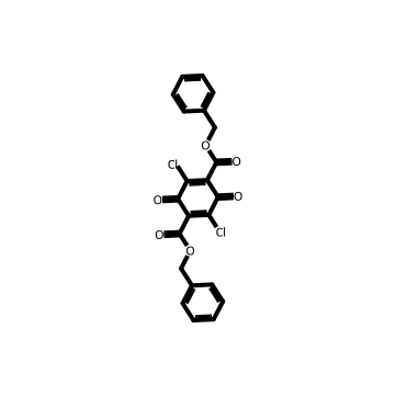 O=C(OCc1ccccc1)C1=C(Cl)C(=O)C(C(=O)OCc2ccccc2)=C(Cl)C1=O